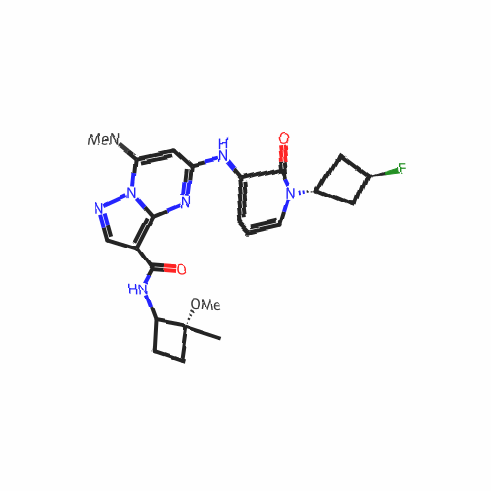 CNc1cc(Nc2cccn([C@H]3C[C@H](F)C3)c2=O)nc2c(C(=O)NC3CC[C@@]3(C)OC)cnn12